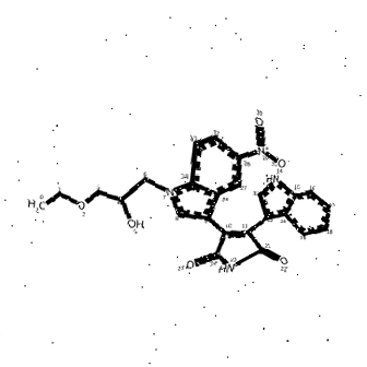 CCOCC(O)Cn1cc(C2=C(c3c[nH]c4ccccc34)C(=O)NC2=O)c2cc([N+](=O)[O-])ccc21